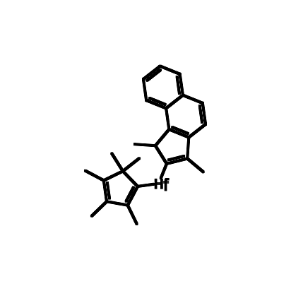 CC1=C(C)C(C)(C)[C]([Hf][C]2=C(C)c3ccc4ccccc4c3C2C)=C1C